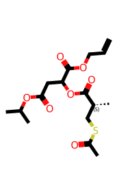 C=CCOC(=O)C(CC(=O)OC(C)C)OC(=O)[C@H](C)CSC(C)=O